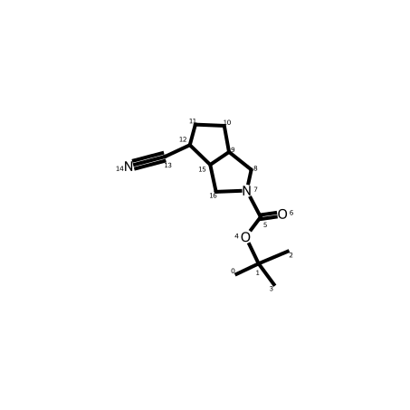 CC(C)(C)OC(=O)N1CC2CCC(C#N)C2C1